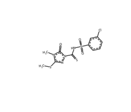 CSc1nn(C(=S)NS(=O)(=O)c2cccc(Cl)c2)c(=O)n1C